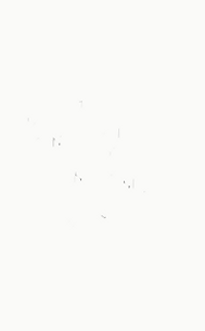 CC(C)CN1C(=O)CCC12CN([C@H](C(N)=O)[C@@H](C)O)C2CS